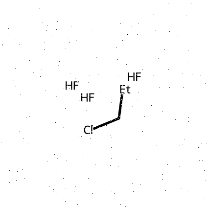 CCCCl.F.F.F